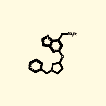 CCOC(=O)Cc1cc(OC2CCN(Cc3ccccc3)C2)cc2ccoc12